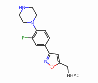 CC(=O)NCc1cc(-c2ccc(N3CCNCC3)c(F)c2)no1